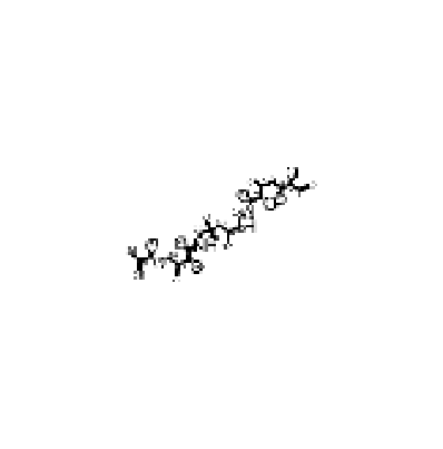 C=CC(=O)C(=O)CC(C)C(=O)C(=O)NCCC(C)CC(C)(C)CNC(=O)C(=O)C(C)COC(=O)C(=C)C